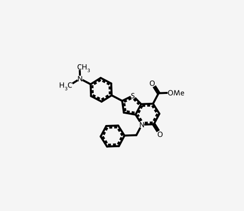 COC(=O)c1cc(=O)n(Cc2ccccc2)c2cc(-c3ccc(N(C)C)cc3)sc12